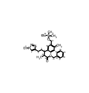 CCn1cc(CCC(c2ccc(C)c(CO[Si](C)(C)C(C)(C)C)c2)C(C)C(=O)OCc2ccccc2)nn1